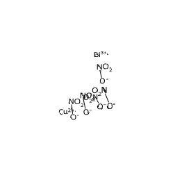 O=[N+]([O-])[O-].O=[N+]([O-])[O-].O=[N+]([O-])[O-].O=[N+]([O-])[O-].O=[N+]([O-])[O-].[Bi+3].[Cu+2]